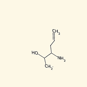 [CH2]C(O)C(N)CC=C